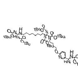 CC(C)(C)OC(=O)N=C(NCCCCCCCCN(C(=O)OC(C)(C)C)C(=NC(=O)OC(C)(C)C)N(CCCCOc1ccc(C(=N)NC(=O)OC(C)(C)C)cn1)C(=O)OC(C)(C)C)NC(=O)OC(C)(C)C